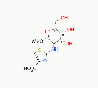 CO[C@@H]1O[C@H](CO)[C@H](O)[C@H](O)C1Nc1nc(C(=O)O)cs1